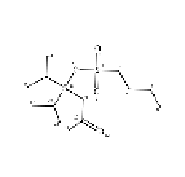 CCCCS(=O)(=O)OS(CC(C)=O)(C(C)C)C(C)C